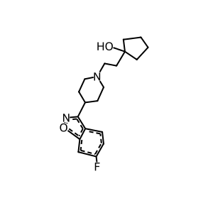 OC1(CCN2CCC(c3noc4cc(F)ccc34)CC2)CCCC1